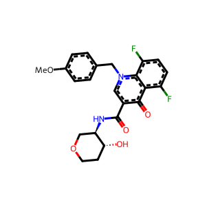 COc1ccc(Cn2cc(C(=O)N[C@@H]3COCC[C@H]3O)c(=O)c3c(F)ccc(F)c32)cc1